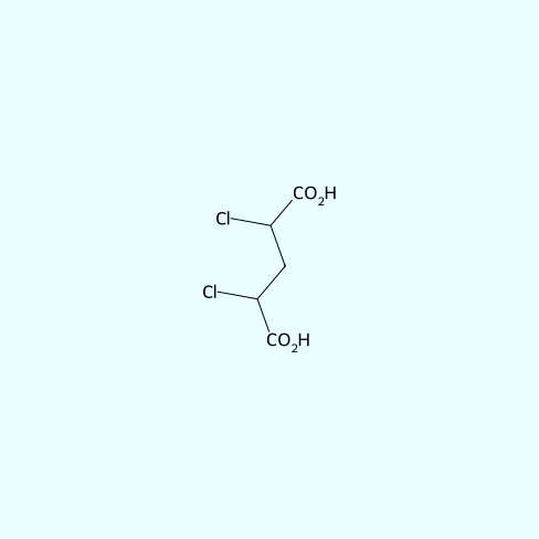 O=C(O)C(Cl)CC(Cl)C(=O)O